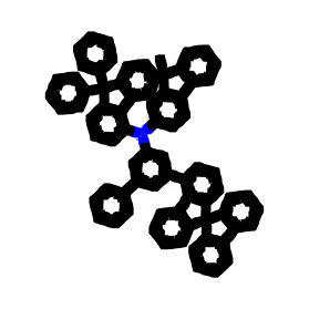 CC1(C)c2ccccc2-c2ccc(N(c3cc(-c4ccccc4)cc(-c4cccc5c4-c4ccccc4C54c5ccccc5-c5ccccc54)c3)c3cccc4c3-c3ccccc3C4(c3ccccc3)c3ccccc3)cc21